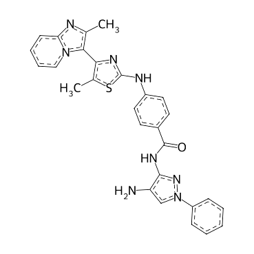 Cc1nc2ccccn2c1-c1nc(Nc2ccc(C(=O)Nc3nn(-c4ccccc4)cc3N)cc2)sc1C